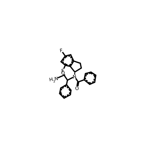 NC(=O)C(c1ccccc1)N(C(=O)c1ccccc1)[C@@H]1CCc2cc(F)cc(F)c21